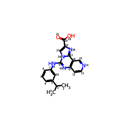 CC(C)c1cccc(Nc2nc3ccncc3c3nc(C(=O)O)cn23)c1